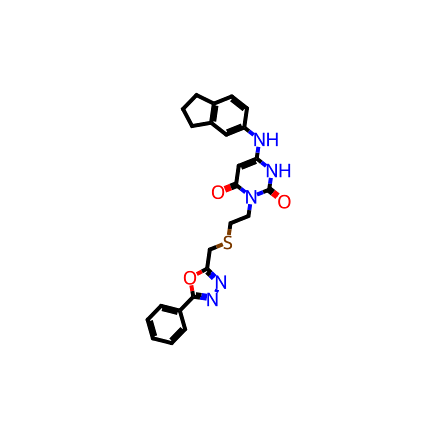 O=c1cc(Nc2ccc3c(c2)CCC3)[nH]c(=O)n1CCSCc1nnc(-c2ccccc2)o1